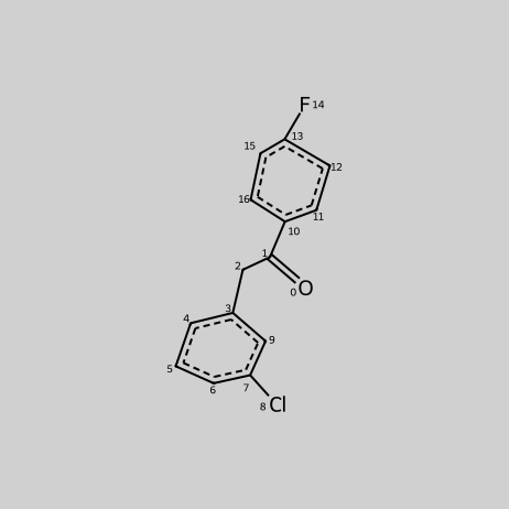 O=C(Cc1cccc(Cl)c1)c1ccc(F)cc1